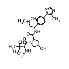 CNC(C(=O)N1CC(O)CC1C(=O)NC(CN(C)C)c1ccc(-c2scnc2C)cc1)C(C)(C)C